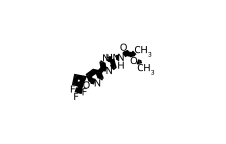 CCOC(C)C(=O)NNc1cnc(-c2ccc(OC3(C(F)(F)F)CCC3)nc2)cn1